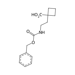 O=C(NCCC1(C(=O)O)CCC1)OCc1ccccc1